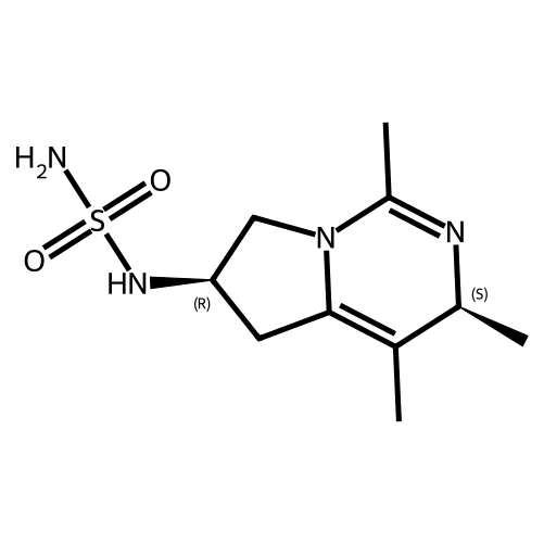 CC1=N[C@@H](C)C(C)=C2C[C@@H](NS(N)(=O)=O)CN12